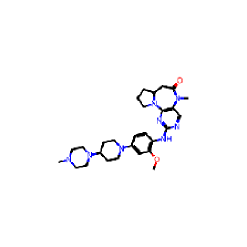 COc1cc(N2CCC(N3CCN(C)CC3)CC2)ccc1Nc1ncc2c(n1)N1CCCC1CC(=O)N2C